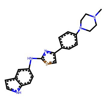 CN1CCN(c2ccc(-c3csc(Nc4ccc5[nH]ccc5c4)n3)cc2)CC1